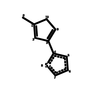 CC1=CC(c2cccs2)=CC1